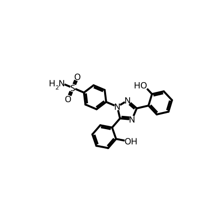 NS(=O)(=O)c1ccc(-n2nc(-c3ccccc3O)nc2-c2ccccc2O)cc1